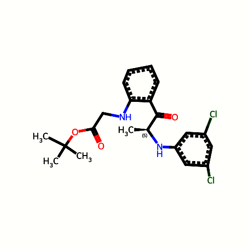 C[C@H](Nc1cc(Cl)cc(Cl)c1)C(=O)c1ccccc1NCC(=O)OC(C)(C)C